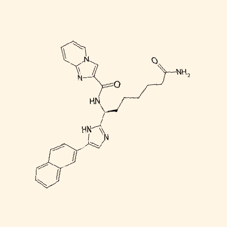 NC(=O)CCCCC[C@H](NC(=O)c1cn2ccccc2n1)c1ncc(-c2ccc3ccccc3c2)[nH]1